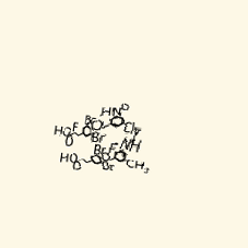 Cc1cc(COc2c(Br)cc(CCC(=O)O)cc2Br)c(F)c(NCC2CC2)c1.O=C(O)C(F)Cc1cc(Br)c(OCc2cc(Cl)cc(NC3CCC3)c2)c(Br)c1